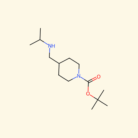 CC(C)NCC1CCN(C(=O)OC(C)(C)C)CC1